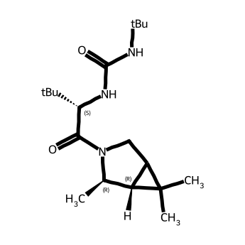 C[C@@H]1[C@@H]2C(CN1C(=O)[C@@H](NC(=O)NC(C)(C)C)C(C)(C)C)C2(C)C